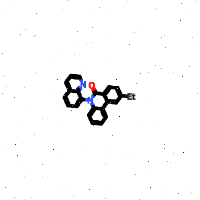 CCc1ccc2c(=O)n(-c3cccc4cccnc34)c3ccccc3c2c1